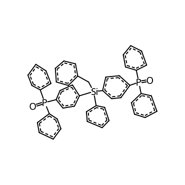 O=P(c1ccccc1)(c1ccccc1)c1ccc([Si](Cc2ccccc2)(c2ccccc2)c2ccc(P(=O)(c3ccccc3)c3ccccc3)cc2)cc1